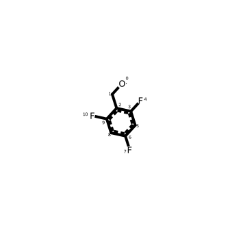 [O]Cc1c(F)cc(F)cc1F